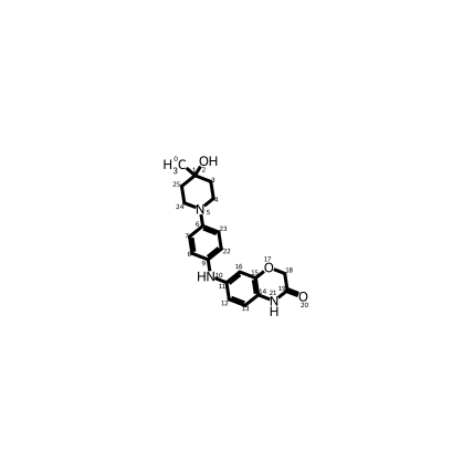 CC1(O)CCN(c2ccc(Nc3ccc4c(c3)OCC(=O)N4)cc2)CC1